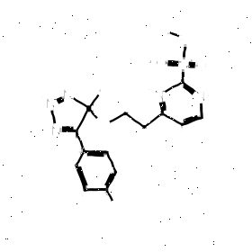 COS(=O)(=O)c1nccc(CCOC2(C)N=NN=C2c2ccc(F)cc2)n1